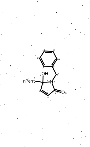 CCCCCC1(O)C=CC(=O)N1Cc1ccccc1